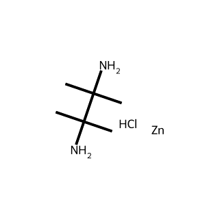 CC(C)(N)C(C)(C)N.Cl.[Zn]